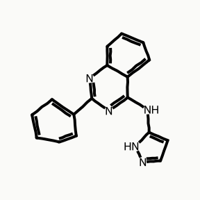 c1ccc(-c2nc(Nc3ccn[nH]3)c3ccccc3n2)cc1